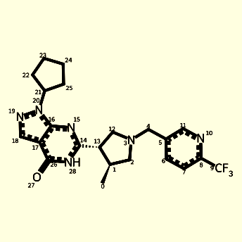 C[C@@H]1CN(Cc2ccc(C(F)(F)F)nc2)C[C@H]1c1nc2c(cnn2C2CCCC2)c(=O)[nH]1